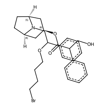 O=C(O[C@H]1C[C@H]2CC[C@@H](C1)N2CC(OCCCCBr)c1ccccc1)C(CO)c1ccccc1